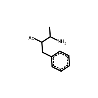 CC(=O)C(Cc1ccccc1)C(C)N